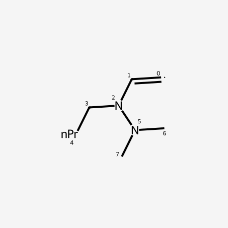 [CH]=CN(CCCC)N(C)C